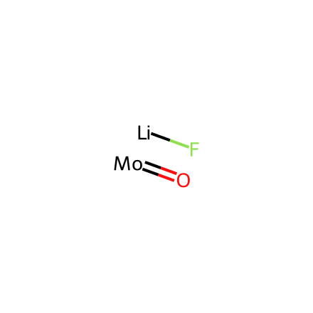 [Li][F].[O]=[Mo]